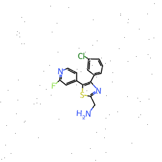 NCc1nc(-c2cccc(Cl)c2)c(-c2ccnc(F)c2)s1